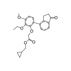 CCOc1c(OC)ccc(-c2cccc3c2CCC3=O)c1OCC(=O)OCC1CC1